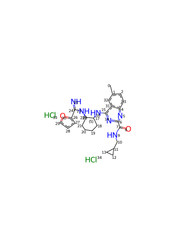 Cc1ccc2nc(C(=O)NCC3CC3)nc(N[C@H]3CCCC[C@H]3NC(=N)c3ccco3)c2c1.Cl.Cl